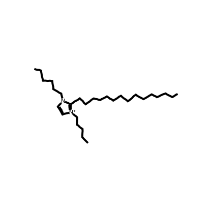 CCCCCCCCCCCCCCCc1n(CCCCCC)cc[n+]1CCCCC